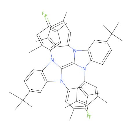 Cc1cc(N2/C(=C3/N(c4cc(C)c(F)c(C)c4)c4ccc(C(C)(C)C)cc4N3c3cc(C)c(F)c(C)c3)N(c3cc(C)c(F)c(C)c3)c3cc(C(C)(C)C)ccc32)c(C)cc1F